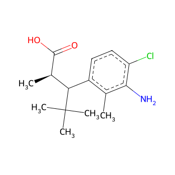 Cc1c(C([C@@H](C)C(=O)O)C(C)(C)C)ccc(Cl)c1N